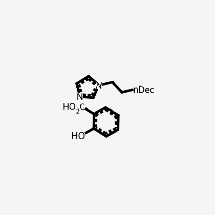 CCCCCCCCCCCCn1ccnc1.O=C(O)c1ccccc1O